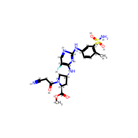 COC(=O)[C@@H]1C[C@@H](Nc2nc(Nc3ccc(C)c(S(N)(=O)=O)c3)ncc2F)CN1C(=O)CC#N